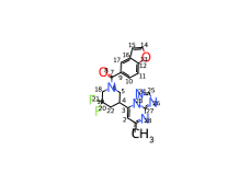 Cc1cc(C2CN(C(=O)c3ccc4occc4c3)CC(F)(F)C2)n2ncnc2n1